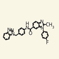 Cc1nc2ccc(C(=O)Nc3ccc(Cn4nnc5ccccc54)cc3)cc2n1-c1ccc(F)cc1